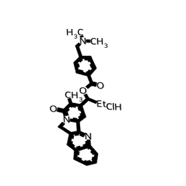 CCC(OC(=O)c1ccc(CN(C)C)cc1)c1cc2n(c(=O)c1C)Cc1cc3ccccc3nc1-2.Cl